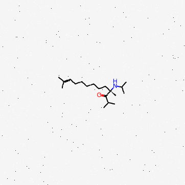 CC(C)=CCCCCCC[C@](C)(NC(C)C)C(=O)C(C)C